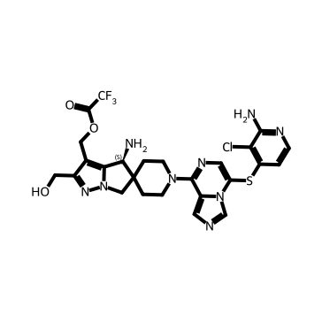 Nc1nccc(Sc2cnc(N3CCC4(CC3)Cn3nc(CO)c(COC(=O)C(F)(F)F)c3[C@H]4N)c3cncn23)c1Cl